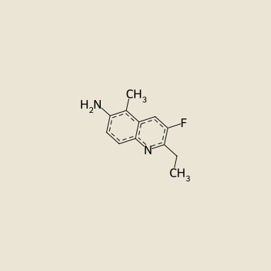 CCc1nc2ccc(N)c(C)c2cc1F